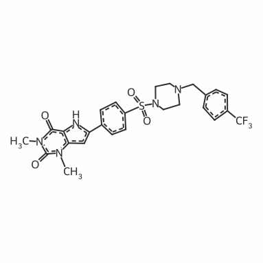 Cn1c(=O)c2[nH]c(-c3ccc(S(=O)(=O)N4CCN(Cc5ccc(C(F)(F)F)cc5)CC4)cc3)cc2n(C)c1=O